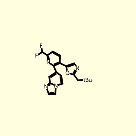 CC(C)(C)Cc1ncc(-c2ccc(C(F)F)nc2-c2ccn3ccnc3c2)o1